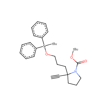 C#CC1(CCCO[Si](c2ccccc2)(c2ccccc2)C(C)(C)C)CCCN1C(=O)OC(C)(C)C